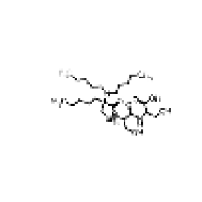 CCCCCN(CCCCC)C(CS)(CCCCC)C(=O)NC(CO)C(=O)NC(CO)C(=O)O